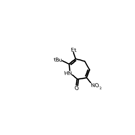 CCC1=C(C(C)(C)C)NC(=O)C([N+](=O)[O-])=CC1